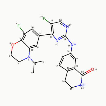 CC(C)N1CCOc2c(F)cc(-c3nc(Nc4ccc5c(c4)C(=O)NCC5)ncc3F)cc21